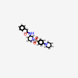 O=C(Cc1ccccc1)NC1CCCN(S(=O)(=O)c2ccc(N3CCCCC3)cc2)C1